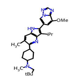 COc1cc(-c2[nH]c3cc(C)c(C4CCC(N(C)CC(C)(C)C)CC4)nc3c2C(C)C)cn2ncnc12